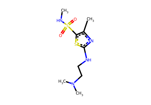 CNS(=O)(=O)c1sc(NCCN(C)C)nc1C